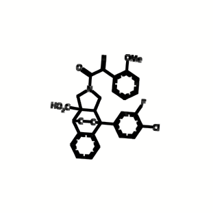 C=C(C(=O)N1CC2C3(c4ccc(Cl)c(F)c4)CCC(c4ccccc43)C2(C(=O)O)C1)c1ccccc1OC